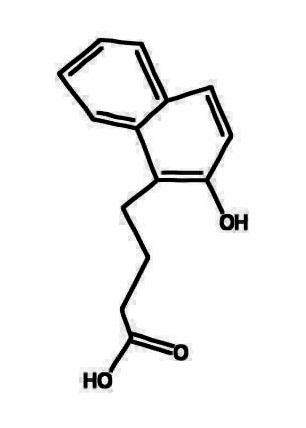 O=C(O)CCCc1c(O)ccc2ccccc12